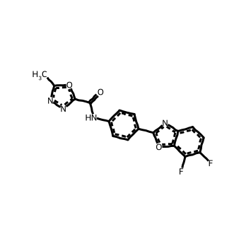 Cc1nnc(C(=O)Nc2ccc(-c3nc4ccc(F)c(F)c4o3)cc2)o1